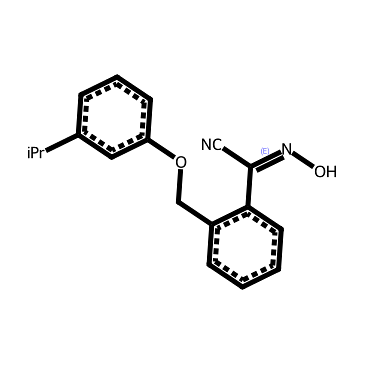 CC(C)c1cccc(OCc2ccccc2/C(C#N)=N\O)c1